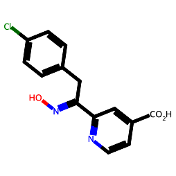 O=C(O)c1ccnc(/C(Cc2ccc(Cl)cc2)=N/O)c1